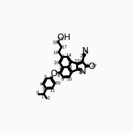 CC(C)c1ccc(Oc2ccc3c4c(cc(CCCO)cc24)C2=C(C#N)C(=O)N=C23)cc1